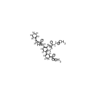 COCCC(=O)N1CCc2c(-c3cccc(C(=O)OC)c3)ccc(CNC(=O)C3C[C@H]3c3ccccc3)c2C1